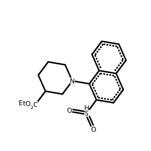 CCOC(=O)C1CCCN(c2c([SH](=O)=O)ccc3ccccc23)C1